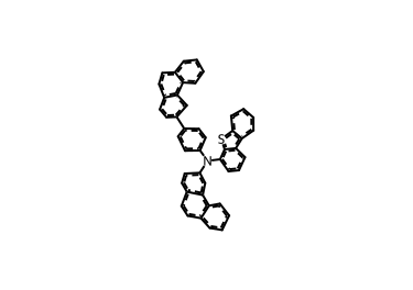 c1ccc2c(c1)ccc1ccc(-c3ccc(N(c4ccc5ccc6ccccc6c5c4)c4cccc5c4sc4ccccc45)cc3)cc12